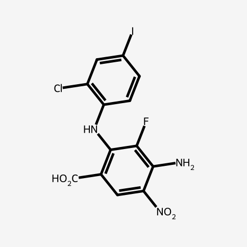 Nc1c([N+](=O)[O-])cc(C(=O)O)c(Nc2ccc(I)cc2Cl)c1F